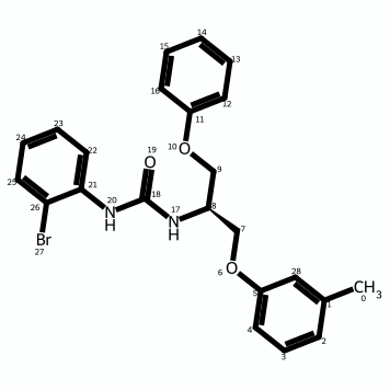 Cc1cccc(OC[C@H](COc2ccccc2)NC(=O)Nc2ccccc2Br)c1